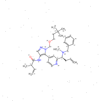 C=CC[C@@H](c1cc(-c2c(NC(=O)C(C)C=C)cnn2COCC[Si](C)(C)C)ccn1)N(Cc1ccccc1)C(=O)O